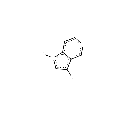 O=C(O)n1cc(F)c2cnccc21